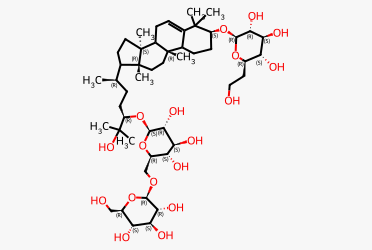 C[C@H](CC[C@@H](O[C@@H]1O[C@H](CO[C@@H]2O[C@H](CO)[C@@H](O)[C@H](O)[C@H]2O)[C@@H](O)[C@H](O)[C@H]1O)C(C)(C)O)C1CC[C@@]2(C)C3CC=C4C(CC[C@H](O[C@@H]5O[C@H](CCO)[C@@H](O)[C@H](O)[C@H]5O)C4(C)C)[C@]3(C)CC[C@]12C